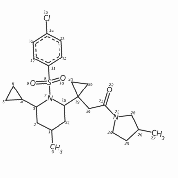 CC1CC(C2CC2)N(S(=O)(=O)c2ccc(Cl)cc2)C(C2(CC(=O)N3CCC(C)C3)CC2)C1